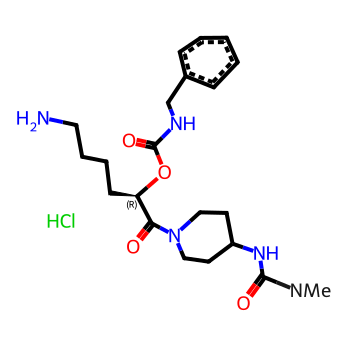 CNC(=O)NC1CCN(C(=O)[C@@H](CCCCN)OC(=O)NCc2ccccc2)CC1.Cl